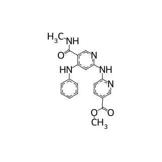 CNC(=O)c1cnc(Nc2ccc(C(=O)OC)cn2)cc1Nc1ccccc1